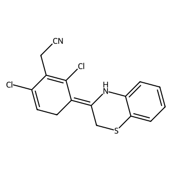 N#CCC1=C(Cl)C(=C2CSc3ccccc3N2)CC=C1Cl